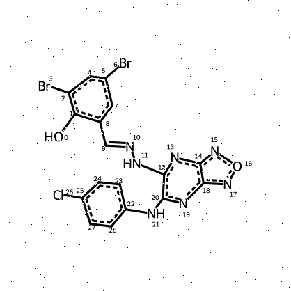 Oc1c(Br)cc(Br)cc1C=NNc1nc2nonc2nc1Nc1ccc(Cl)cc1